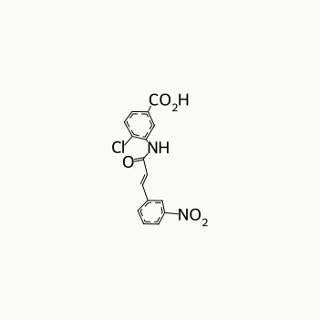 O=C(C=Cc1cccc([N+](=O)[O-])c1)Nc1cc(C(=O)O)ccc1Cl